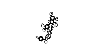 COc1cc(OC)c2c(c1)OC(c1cc(OC)c(OC)c(OC)c1)=C(OCCCCN1CCN(C(=O)c3ccc(F)cc3)CC1)C2C=O